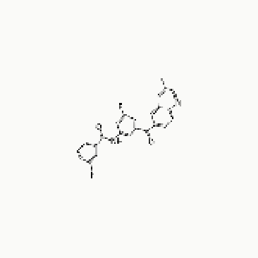 Cc1cnc2ccc(C(=O)c3cc(F)cc(NC(=O)c4cccc(F)c4)c3)cc2c1